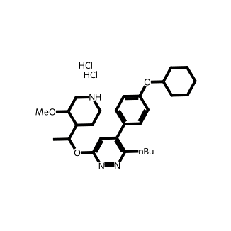 CCCCc1nnc(OC(C)C2CCNCC2OC)cc1-c1ccc(OC2CCCCC2)cc1.Cl.Cl